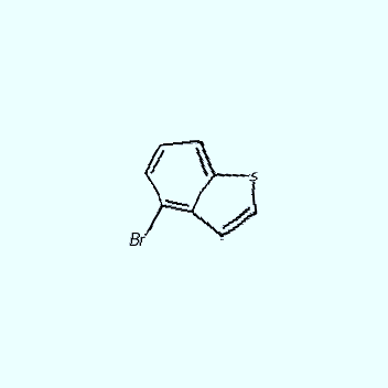 Brc1cccc2sc[c]c12